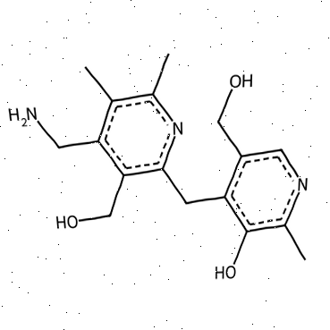 Cc1nc(Cc2c(CO)cnc(C)c2O)c(CO)c(CN)c1C